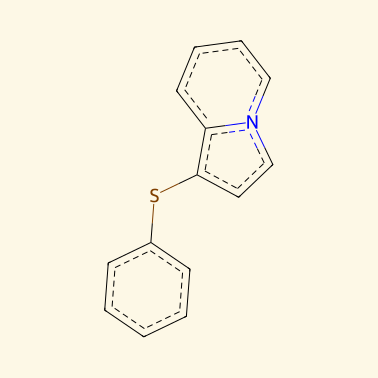 c1ccc(Sc2ccn3ccccc23)cc1